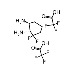 N[C@@H]1[C@@H](N)CCCC1(F)F.O=C(O)C(F)(F)F.O=C(O)C(F)(F)F